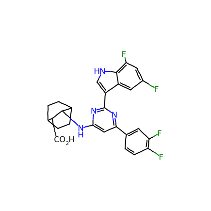 O=C(O)C1C2CCC(CC2)C1Nc1cc(-c2ccc(F)c(F)c2)nc(-c2c[nH]c3c(F)cc(F)cc23)n1